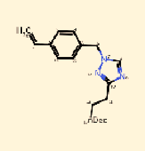 C=Cc1ccc(Cn2cnc(CCCCCCCCCCCC)n2)cc1